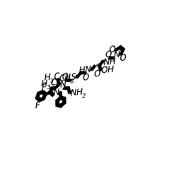 CC(C)(C)[C@H](c1cc(-c2cc(F)ccc2F)cn1Cc1ccccc1)N(CCCN)C(=O)CSCCC(=O)NCC[C@H](CNC(=O)CN1C(=O)C=CC1=O)C(=O)O